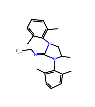 Cc1cccc(C)c1N1CC(C)N(c2c(C)cccc2C)C1=NCC(F)(F)F